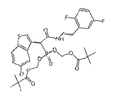 CC(C)(C)C(=O)OCOP(=O)(OCOC(=O)C(C)(C)C)C(C(=O)NC=Cc1cc(F)ccc1F)c1csc2ccc(Cl)cc12